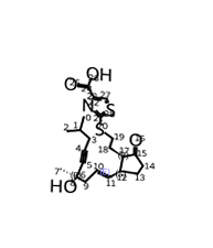 CC(C)CC#C[C@](C)(O)C/C=C/[C@@H]1CCC(=O)[C@@H]1CCSc1nc(C(=O)O)cs1